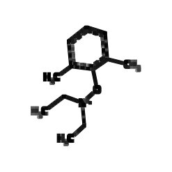 CC[N+](CC)Oc1c(C)cccc1C